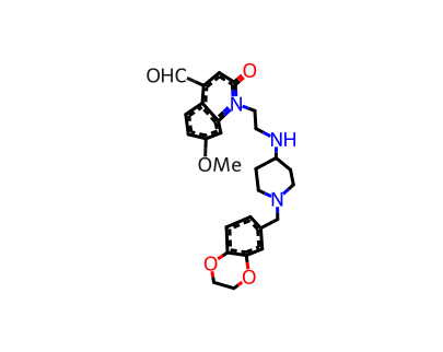 COc1ccc2c(C=O)cc(=O)n(CCNC3CCN(Cc4ccc5c(c4)OCCO5)CC3)c2c1